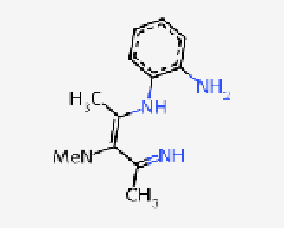 CN/C(C(C)=N)=C(\C)Nc1ccccc1N